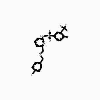 O=S(=O)(Nc1cccc(COCc2ccc(F)cc2)n1)c1ccc(F)c(C(F)(F)F)c1